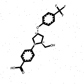 O=C(O)c1ccc(N2C[C@H](Oc3ccc(C(F)(F)F)cc3)C[C@H]2CO)cc1